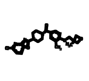 Cc1cc(C(=O)N2CCN(c3nc4nc(Cl)ccc4o3)CC2)cnc1OCC1(C)COC1